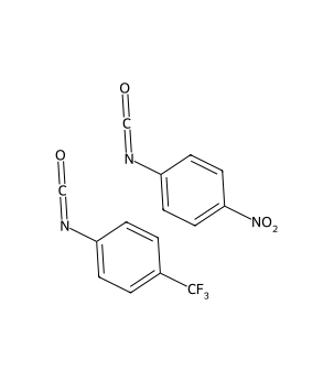 O=C=Nc1ccc(C(F)(F)F)cc1.O=C=Nc1ccc([N+](=O)[O-])cc1